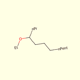 [CH2]COC(CCC)CCCCCCCC